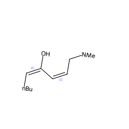 CCCC/C=C(O)\C=C/CNC